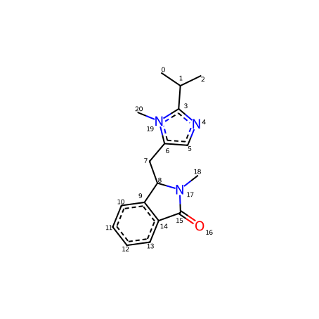 CC(C)c1ncc(CC2c3ccccc3C(=O)N2C)n1C